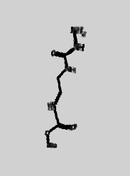 CC(C)(C)OC(=O)NCCNC(=O)NN